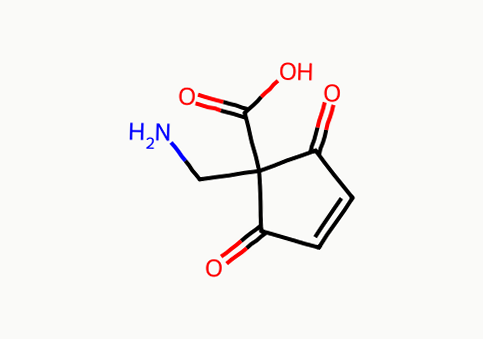 NCC1(C(=O)O)C(=O)C=CC1=O